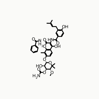 CO[C@@H]1[C@@H](OC(N)=O)[C@@H](O)[C@H](Oc2ccc3c(O)c(NC(=O)c4ccc(O)c(CC=C(C)C)c4)c(=O)oc3c2C)OC1(C)C.NC(=O)c1ccccc1